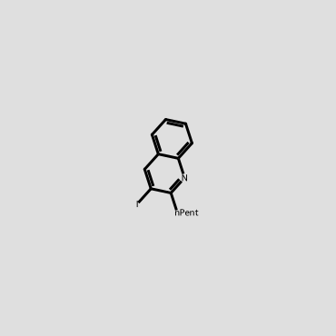 CCCCCc1nc2ccccc2cc1I